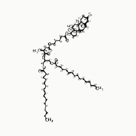 CCCCCCCCCCCCCCCC(=O)OCC(COC(=O)CCCCCCCCCCCCCCC)OC(=O)C(C)CC(=O)OCCCCC(=O)OC1CC[C@H]2[C@@H]3CCC4=CC(=O)CC[C@]4(C)[C@H]3CC[C@]12C